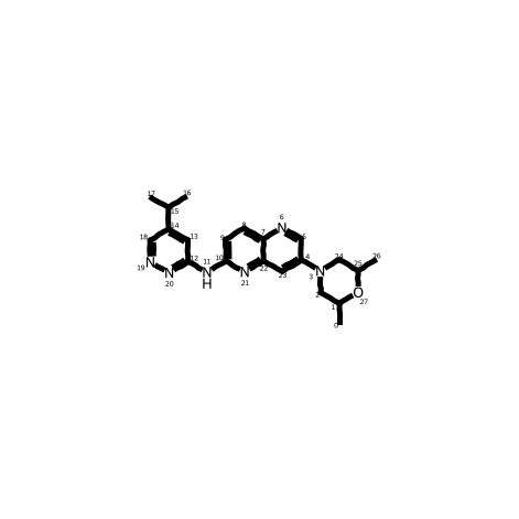 CC1CN(c2cnc3ccc(Nc4cc(C(C)C)cnn4)nc3c2)CC(C)O1